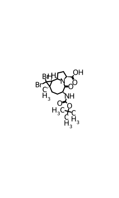 CC(C)(C)OC(=O)N[C@H]1CC[C@]2(C)[C@H]([C@H]3CC[C@@H](C(=O)O)N3C1=O)C2(Br)Br